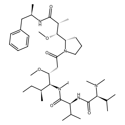 CC[C@H](C)[C@@H]([C@@H](CC(=O)N1CCC[C@H]1[C@H](OC)[C@@H](C)C(=O)N[C@H](C)Cc1ccccc1)OC)N(I)C(=O)[C@@H](NC(=O)[C@H](C(C)C)N(C)C)C(C)C